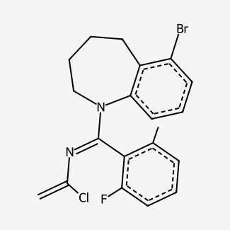 C=C(Cl)/N=C(\c1c(C)cccc1F)N1CCCCc2c(Br)cccc21